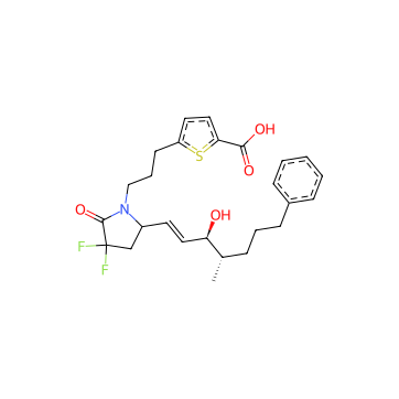 C[C@@H](CCCc1ccccc1)[C@H](O)C=CC1CC(F)(F)C(=O)N1CCCc1ccc(C(=O)O)s1